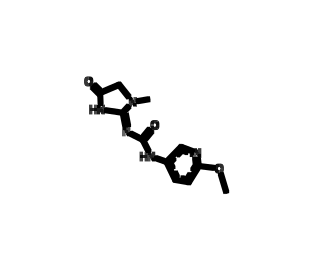 COc1ccc(NC(=O)N=C2NC(=O)CN2C)cn1